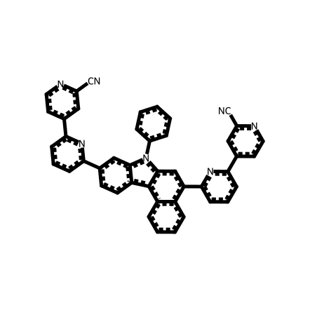 N#Cc1cc(-c2cccc(-c3ccc4c5c6ccccc6c(-c6cccc(-c7ccnc(C#N)c7)n6)cc5n(-c5ccccc5)c4c3)n2)ccn1